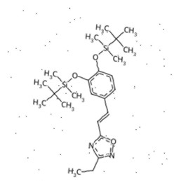 CCc1noc(C=Cc2ccc(O[Si](C)(C)C(C)(C)C)c(O[Si](C)(C)C(C)(C)C)c2)n1